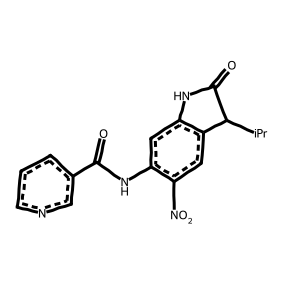 CC(C)C1C(=O)Nc2cc(NC(=O)c3cccnc3)c([N+](=O)[O-])cc21